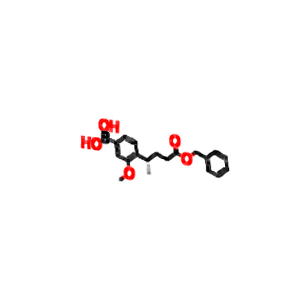 COc1cc(B(O)O)ccc1[C@@H](C)CCC(=O)OCc1ccccc1